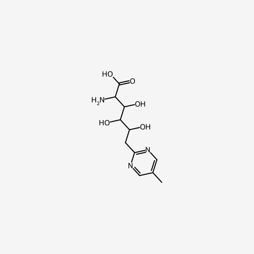 Cc1cnc(CC(O)C(O)C(O)C(N)C(=O)O)nc1